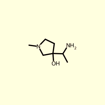 CC(N)C1(O)CCN(C)C1